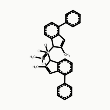 CC1=Cc2c(-c3ccccc3)cccc2[CH]1[Zr]([Cl])([Cl])([CH]1C(C)=Cc2c(-c3ccccc3)cccc21)=[Sn]([CH3])[CH3]